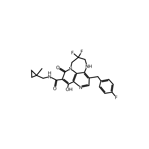 CC1(CNC(=O)c2c(O)c3ncc(Cc4ccc(F)cc4)c4c3n(c2=O)CC(F)(F)CN4)CC1